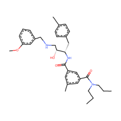 CCCN(CCC)C(=O)c1cc(C)cc(C(=O)N[C@@H](Cc2ccc(C)cc2)[C@H](O)CNCc2cccc(OC)c2)c1